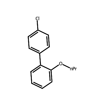 CCCOc1ccccc1-c1ccc(Cl)cc1